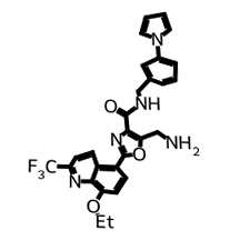 CCOc1ccc(-c2nc(C(=O)NCc3cccc(-n4cccc4)c3)c(CN)o2)c2ccc(C(F)(F)F)nc12